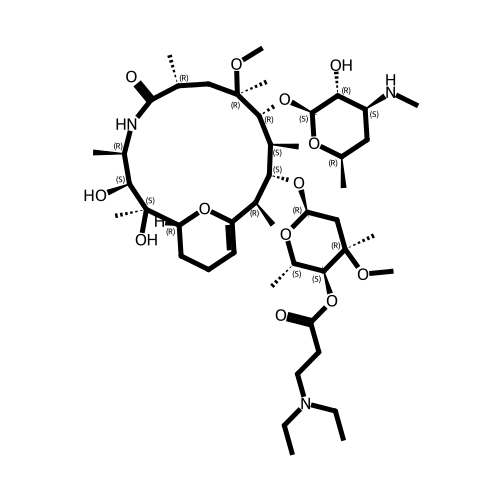 CCN(CC)CCC(=O)O[C@H]1[C@H](C)O[C@@H](O[C@H]2[C@H](C)[C@@H](O[C@@H]3O[C@H](C)C[C@H](NC)[C@H]3O)[C@](C)(OC)C[C@@H](C)C(=O)N[C@H](C)[C@H](O)[C@](C)(O)[C@H]3CCC=C(O3)[C@@H]2C)C[C@@]1(C)OC